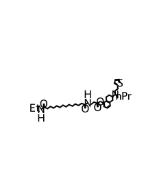 CCCN(CCc1cccs1)C1CCc2c(cccc2OC(=O)CCNC(=O)CCCCCCCCCCCCC(=O)NCC)C1